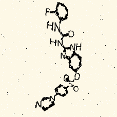 O=C(Nc1nc2cc(OS(=O)(=O)c3ccc(-n4ccnc4)cc3)ccc2[nH]1)Nc1ccccc1F